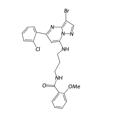 COc1ccccc1C(=O)NCCCNc1cc(-c2ccccc2Cl)nc2c(Br)cnn12